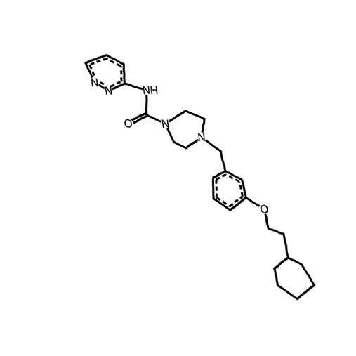 O=C(Nc1cccnn1)N1CCN(Cc2cccc(OCCC3CCCCC3)c2)CC1